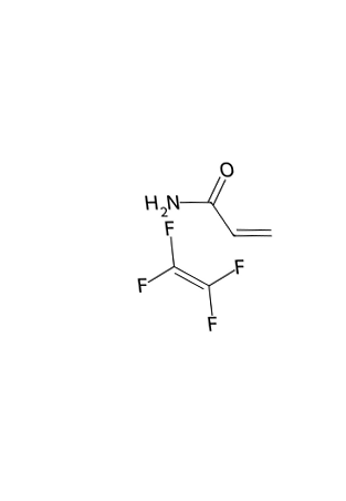 C=CC(N)=O.FC(F)=C(F)F